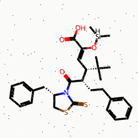 C[SiH](C)OC(=C[C@@H]([C@H](CCc1ccccc1)C(=O)N1C(=S)SC[C@@H]1Cc1ccccc1)C(C)(C)C)C(=O)O